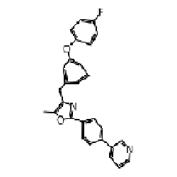 Cc1oc(-c2ccc(-c3cccnc3)cc2)nc1Cc1cccc(Oc2ccc(F)cc2)c1